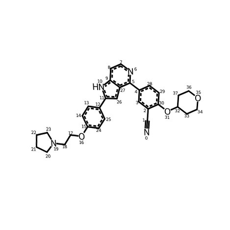 N#Cc1cc(-c2nccc3[nH]c(-c4ccc(OCCN5CCCC5)cc4)cc23)ccc1OC1CCOCC1